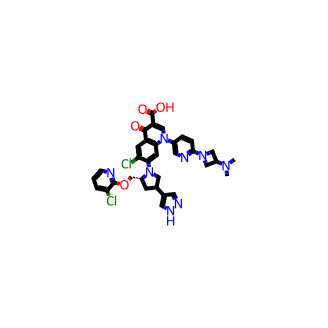 CN(C)C1CN(c2ccc(-n3cc(C(=O)O)c(=O)c4cc(Cl)c(N5CC(c6cn[nH]c6)C[C@@H]5COc5ncccc5Cl)cc43)cn2)C1